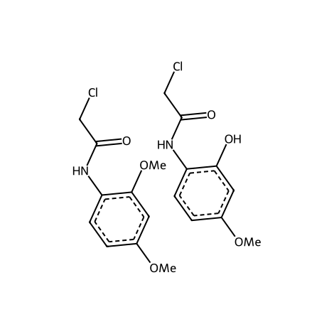 COc1ccc(NC(=O)CCl)c(O)c1.COc1ccc(NC(=O)CCl)c(OC)c1